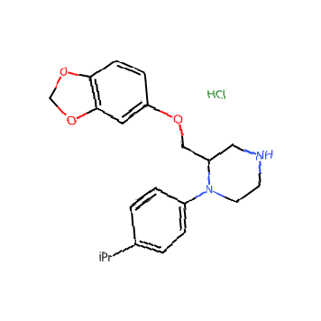 CC(C)c1ccc(N2CCNCC2COc2ccc3c(c2)OCO3)cc1.Cl